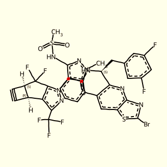 Cn1nc(NS(C)(=O)=O)c2cccc(-c3cc4sc(Br)nc4nc3[C@H](Cc3cc(F)cc(F)c3)NC(=O)Cn3nc(C(F)(F)F)c4c3C(F)(F)[C@@H]3C#C[C@H]43)c21